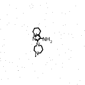 CN1CCCN(c2nn3c(c2N)CCCC3)CC1